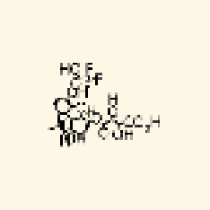 CN1CC[C@]23c4c5ccc(O)c4O[C@H]2C(OC(=O)C(O)C(O)C(=O)O)=CC[C@@]3(O)[C@H]1C5.O=C(O)C(F)(F)F